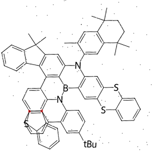 Cc1cc2c(cc1N1c3cc4c(cc3B3c5c1cc1c(c5-c5ccc6sc7ccccc7c6c5N3c3ccc(C(C)(C)C)cc3-c3ccccc3)-c3ccccc3C1(C)C)Sc1ccccc1S4)C(C)(C)CCC2(C)C